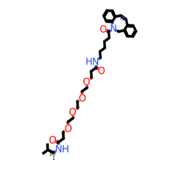 CC(C)[C@@H](C)NC(=O)CCOCCOCCOCCOCCC(=O)NCCCCCC(=O)N1Cc2ccccc2/C=C\c2ccccc21